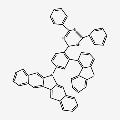 c1ccc(C2=NC(c3ccc(-n4c5cc6ccccc6cc5c5cc6ccccc6cc54)cc3-c3cccc4sc5ccccc5c34)NC(c3ccccc3)=N2)cc1